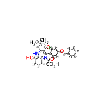 CC1(C)CC(=O)C2=C(C1)NC1=C(O)CCC=C1N(C(=O)C(=O)O)C2c1ccc(OCc2ccccc2)cc1F